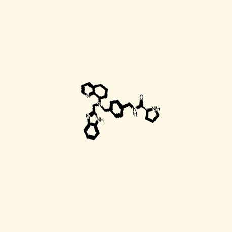 O=C(NCc1ccc(CN(Cc2nc3ccccc3[nH]2)C2CCCc3cccnc32)cc1)[C@@H]1CCCN1